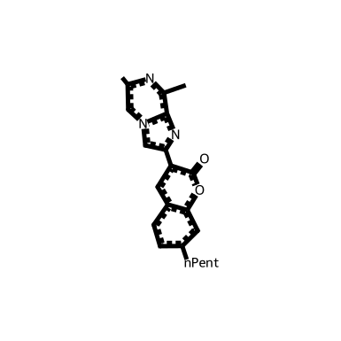 CCCCCc1ccc2cc(-c3cn4cc(C)nc(C)c4n3)c(=O)oc2c1